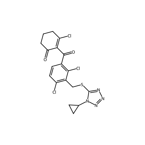 O=C1CCCC(Cl)=C1C(=O)c1ccc(Cl)c(CSc2nnnn2C2CC2)c1Cl